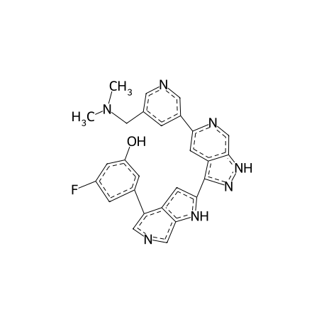 CN(C)Cc1cncc(-c2cc3c(-c4cc5c(-c6cc(O)cc(F)c6)cncc5[nH]4)n[nH]c3cn2)c1